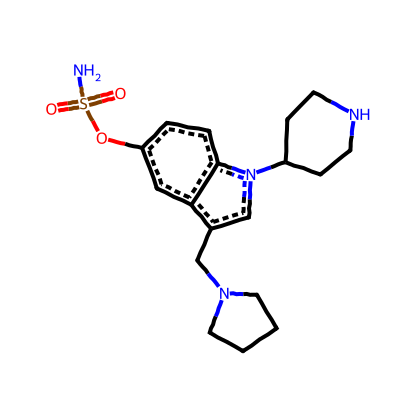 NS(=O)(=O)Oc1ccc2c(c1)c(CN1CCCC1)cn2C1CCNCC1